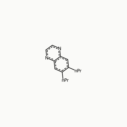 CCCc1cc2nccnc2cc1CCC